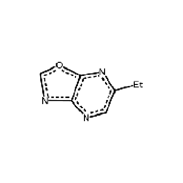 CCc1cnc2ncoc2n1